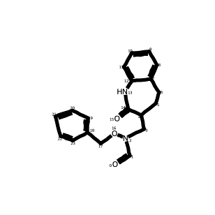 O=CN(CC1CCc2ccccc2NC1=O)OCc1ccccc1